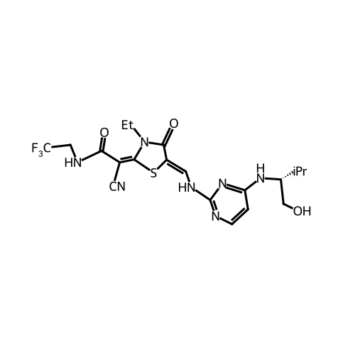 CCn1c(=C(C#N)C(=O)NCC(F)(F)F)sc(=CNc2nccc(N[C@@H](CO)C(C)C)n2)c1=O